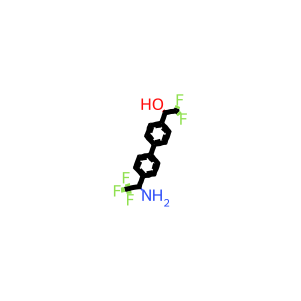 N[C@@H](c1ccc(-c2ccc([C@@H](O)C(F)F)cc2)cc1)C(F)(F)F